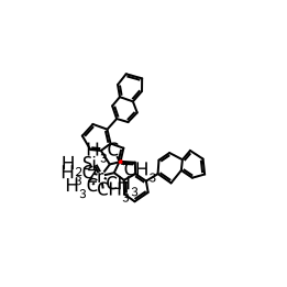 CC1=Cc2c(-c3ccc4ccccc4c3)cccc2[CH]1[Zr]([CH3])([CH3])([CH3])([CH3])(=[SiH2])[CH]1C(C)=Cc2c(-c3ccc4ccccc4c3)cccc21